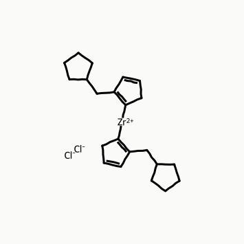 C1=CC(CC2CCCC2)=[C]([Zr+2][C]2=C(CC3CCCC3)C=CC2)C1.[Cl-].[Cl-]